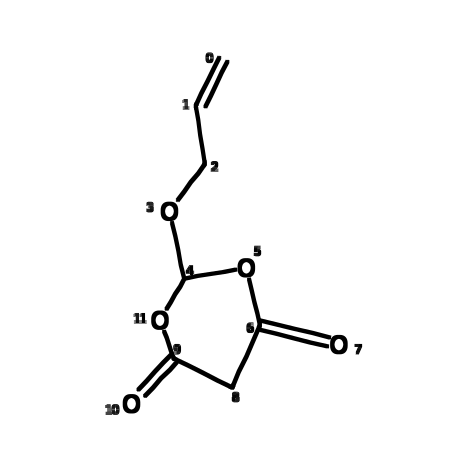 C=CCOC1OC(=O)CC(=O)O1